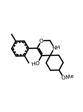 COC1CCC2(CC1)NCOC(c1cc(C)ccc1C)=C2O